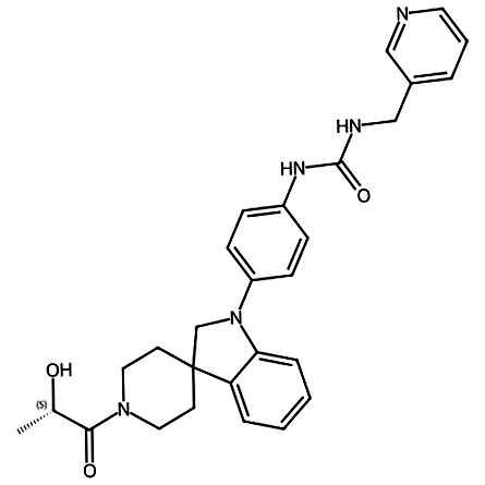 C[C@H](O)C(=O)N1CCC2(CC1)CN(c1ccc(NC(=O)NCc3cccnc3)cc1)c1ccccc12